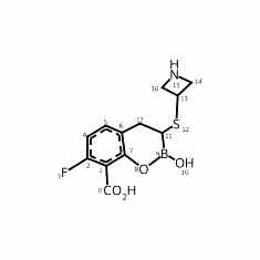 O=C(O)c1c(F)ccc2c1OB(O)C(SC1CNC1)C2